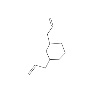 C=CCC1CCCC(CC=C)C1